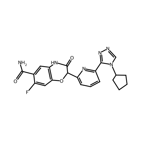 NC(=O)c1cc2c(cc1F)OC(c1cccc(-c3nncn3C3CCCC3)n1)C(=O)N2